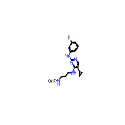 O=CNCCCNc1nc(Nc2cccc(F)c2)ncc1C1CC1